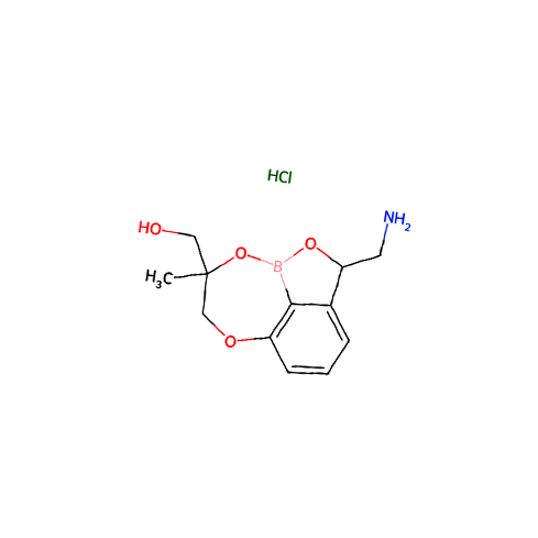 CC1(CO)COc2cccc3c2B(OC3CN)O1.Cl